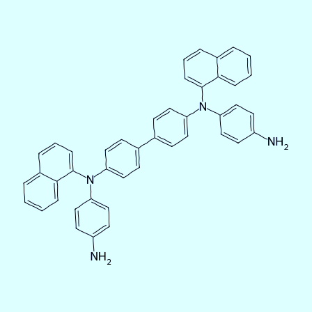 Nc1ccc(N(c2ccc(-c3ccc(N(c4ccc(N)cc4)c4cccc5ccccc45)cc3)cc2)c2cccc3ccccc23)cc1